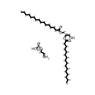 CCCCCCCCCCCCCCCC(=O)OC[C@H](CO)OC(=O)CCCCCCCCCCCCCCC.NCCO[PH](=O)O